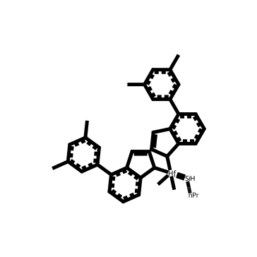 CCC[SiH]=[Hf]([CH3])([CH3])([CH]1C=Cc2c(-c3cc(C)cc(C)c3)cccc21)[CH]1C=Cc2c(-c3cc(C)cc(C)c3)cccc21